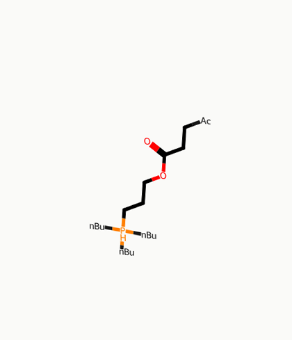 CCCC[PH](CCCC)(CCCC)CCCOC(=O)CCC(C)=O